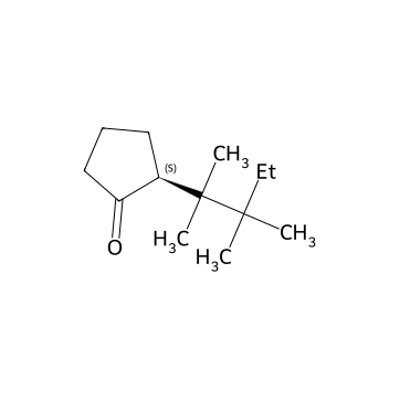 CCC(C)(C)C(C)(C)[C@@H]1CCCC1=O